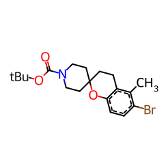 Cc1c(Br)ccc2c1CCC1(CCN(C(=O)OC(C)(C)C)CC1)O2